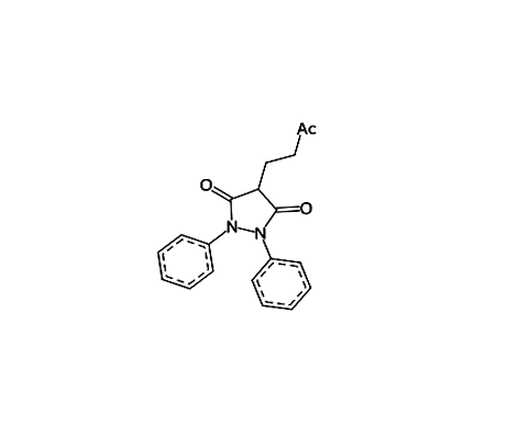 CC(=O)CCC1C(=O)N(c2ccccc2)N(c2ccccc2)C1=O